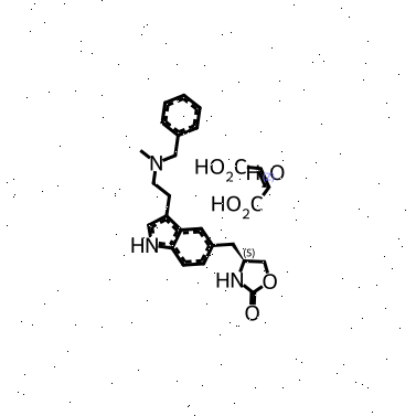 CN(CCc1c[nH]c2ccc(C[C@H]3COC(=O)N3)cc12)Cc1ccccc1.O.O=C(O)/C=C\C(=O)O